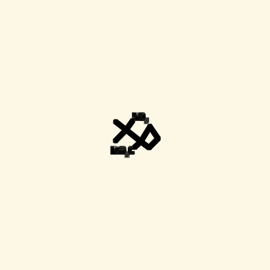 CCOC(=O)C1(C(C)(C)[N+](=O)[O-])CCC1